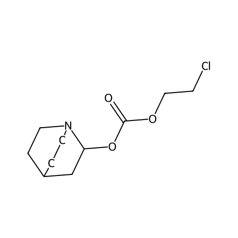 O=C(OCCCl)OC1CC2CCN1CC2